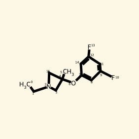 CCN1CC(C)(Oc2cc(F)cc(F)c2)C1